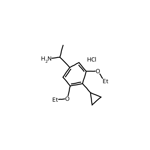 CCOc1cc(C(C)N)cc(OCC)c1C1CC1.Cl